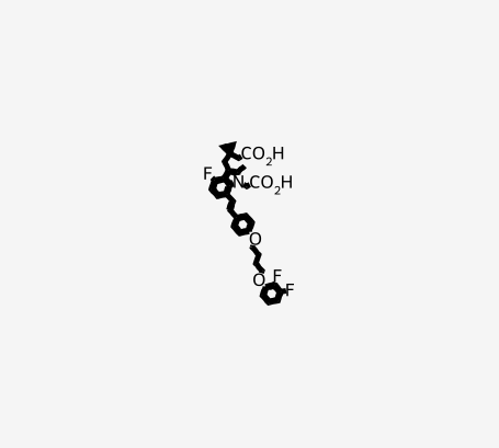 Cc1c(CC2(CC(=O)O)CC2)c2c(F)ccc(/C=C/c3ccc(OCCCCOc4cccc(F)c4F)cc3)c2n1CC(=O)O